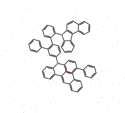 c1ccc(-c2ccc(N(c3ccc(-c4ccccc4-n4c5ccccc5c5c6ccccc6ccc54)c(-c4ccccc4)c3)c3ccccc3-c3ccc4ccccc4c3)cc2)cc1